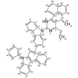 C=CC1=NC(n2c3ccccc3c3cc(-c4cc5c(c6ccccc46)c4ccccc4n5-c4ccccc4)ccc32)NC(c2cccc3ccccc23)=C1C=C